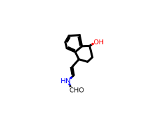 O=CNC=CC1CCC(O)c2ccccc21